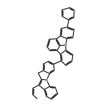 C/C=C\c1c2n(c3ccccc13)-c1cc(-c3cccc4c3c3cccc5c6cc(-c7ccccc7)ccc6n4c53)ccc1C2